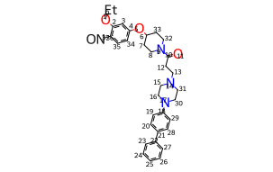 CCOc1cc(OC2CCN(C(=O)CCN3CCN(c4ccc(-c5ccccc5)cc4)CC3)CC2)ccc1N=O